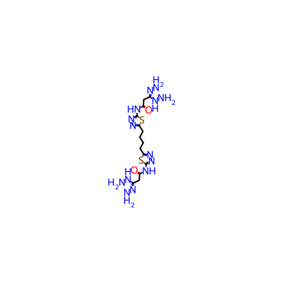 N/N=C(/CC(=O)Nc1nnc(CCCCc2nnc(NC(=O)C/C(=N/N)NN)s2)s1)NN